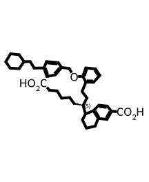 O=C(O)CCCCC[C@@H](CCc1ccccc1OCc1ccc(CCC2CCCCC2)cc1)C1CCCc2cc(C(=O)O)ccc21